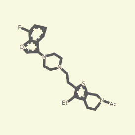 CCc1c(CCN2CCN(c3coc4c(F)cccc34)CC2)sc2c1CCN(C(C)=O)C2